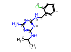 CC(C)Nc1nc(N)nc(NCc2ccccc2Cl)n1